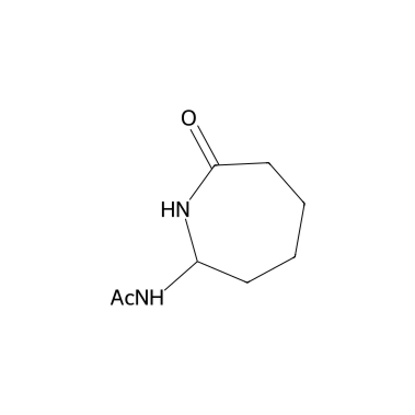 CC(=O)NC1CCCCC(=O)N1